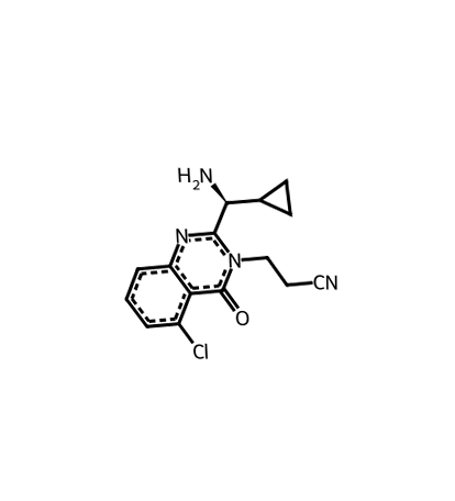 N#CCCn1c([C@@H](N)C2CC2)nc2cccc(Cl)c2c1=O